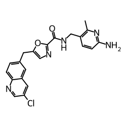 Cc1nc(N)ccc1CNC(=O)c1ncc(Cc2ccc3ncc(Cl)cc3c2)o1